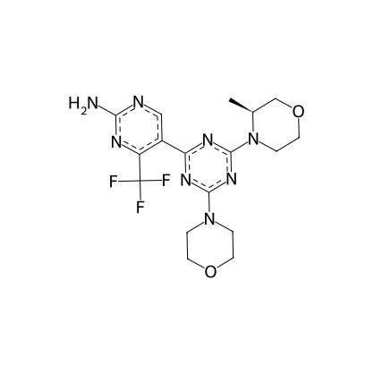 C[C@H]1COCCN1c1nc(-c2cnc(N)nc2C(F)(F)F)nc(N2CCOCC2)n1